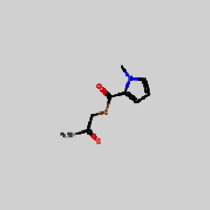 CC(=O)NC(=O)CSC(=O)c1cccn1C